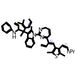 C=C/C(=C\c1c(C)sc(C)c1/C=C\CCC)C1=NC(n2c(C)c(C(C)(C(/C=C\C)=C(C)C)C(C=C)Nc3ccccc3)c3ccccc32)=NCC=C1